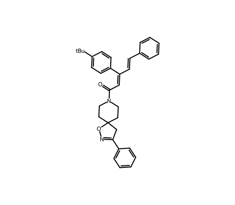 CC(C)(C)c1ccc(C(C=Cc2ccccc2)=CC(=O)N2CCC3(CC2)CC(c2ccccc2)=NO3)cc1